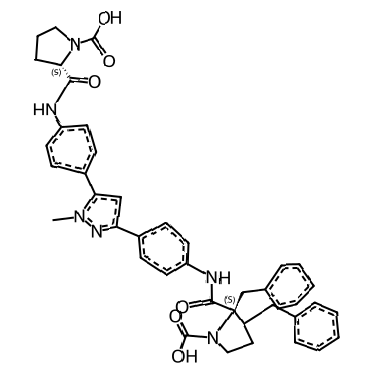 Cn1nc(-c2ccc(NC(=O)[C@]3(Cc4ccccc4)C(Cc4ccccc4)CCN3C(=O)O)cc2)cc1-c1ccc(NC(=O)[C@@H]2CCCN2C(=O)O)cc1